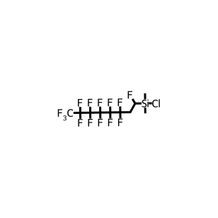 C[Si](C)(Cl)C(F)CC(F)(F)C(F)(F)C(F)(F)C(F)(F)C(F)(F)C(F)(F)F